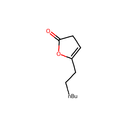 CCCCCCC1=CCC(=O)O1